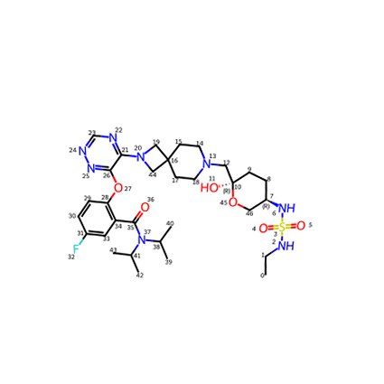 CCNS(=O)(=O)N[C@@H]1CC[C@](O)(CN2CCC3(CC2)CN(c2ncnnc2Oc2ccc(F)cc2C(=O)N(C(C)C)C(C)C)C3)OC1